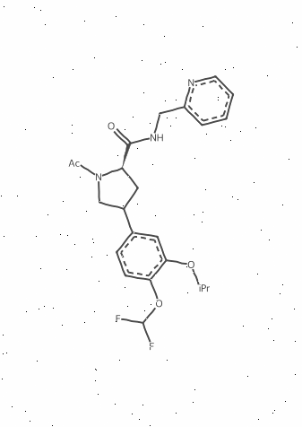 CC(=O)N1CC(c2ccc(OC(F)F)c(OC(C)C)c2)C[C@@H]1C(=O)NCc1ccccn1